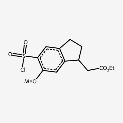 CCOC(=O)CC1CCc2cc(S(=O)(=O)Cl)c(OC)cc21